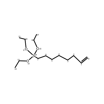 C=CCCCCCC[Si](OCC)(OCC)OCC